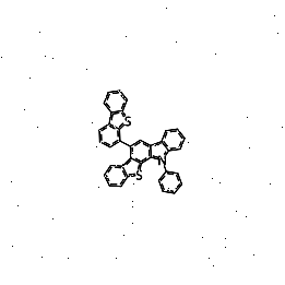 c1ccc(-n2c3ccccc3c3cc(-c4cccc5c4sc4ccccc45)c4c5ccccc5sc4c32)cc1